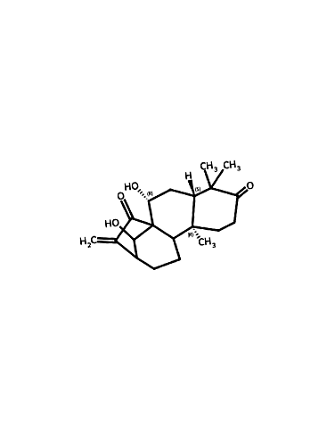 C=C1C(=O)C23C(O)C1CCC2[C@]1(C)CCC(=O)C(C)(C)[C@H]1C[C@H]3O